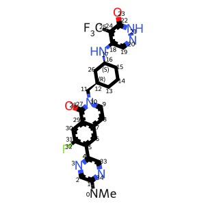 CNc1cnc(-c2cc3ccn(C[C@@H]4CCC[C@H](Nc5cn[nH]c(=O)c5C(F)(F)F)C4)c(=O)c3cc2F)cn1